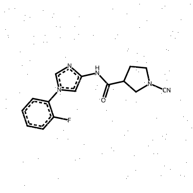 N#CN1CCC(C(=O)Nc2cn(-c3ccccc3F)cn2)C1